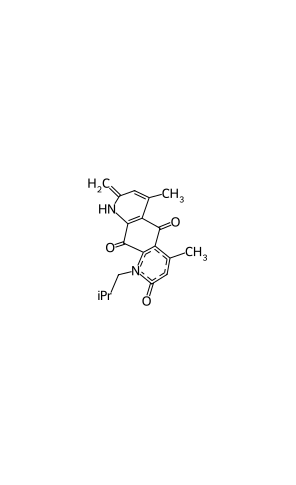 C=C1C=C(C)C2=C(N1)C(=O)c1c(c(C)cc(=O)n1CC(C)C)C2=O